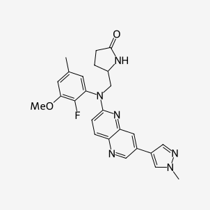 COc1cc(C)cc(N(CC2CCC(=O)N2)c2ccc3ncc(-c4cnn(C)c4)cc3n2)c1F